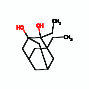 CCC12CC3CC(CC(O)(C3)C1(O)CC)C2